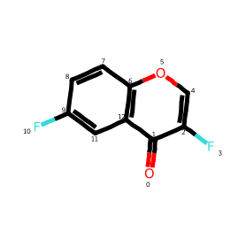 O=c1c(F)coc2ccc(F)cc12